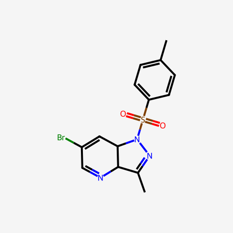 CC1=NN(S(=O)(=O)c2ccc(C)cc2)C2C=C(Br)C=NC12